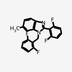 Cc1ccc2nc(-c3c(F)cccc3F)n(Cc3c(F)cccc3F)c2c1